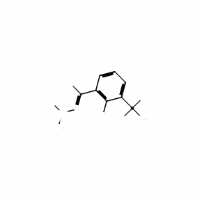 CC(=N[S@+]([O-])C(C)(C)C)c1cccc(C(C)(C)O)c1F